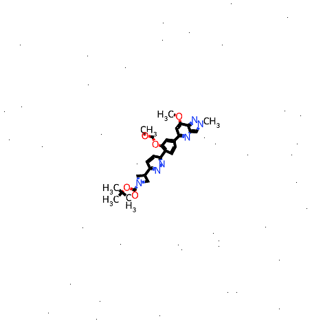 COCOc1cc(-c2cc(OC)c3nn(C)cc3n2)ccc1-c1ccc(C2CN(C(=O)OC(C)(C)C)C2)nn1